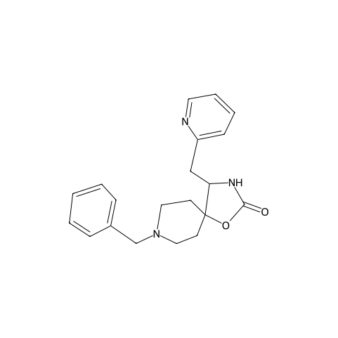 O=C1NC(Cc2ccccn2)C2(CCN(Cc3ccccc3)CC2)O1